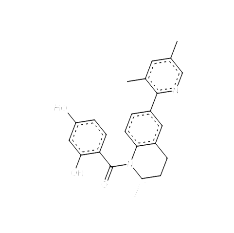 Cc1cnc(-c2ccc3c(c2)CC[C@H](C)N3C(=O)c2ccc(O)cc2O)c(C)c1